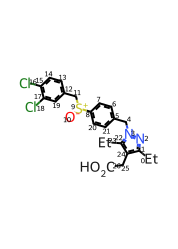 CCc1nn(Cc2ccc([S+]([O-])Cc3ccc(Cl)c(Cl)c3)cc2)c(CC)c1CC(=O)O